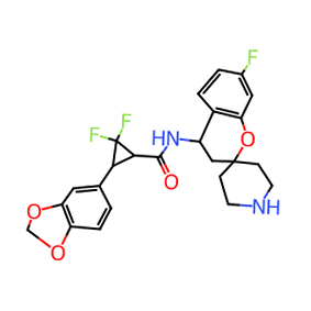 O=C(NC1CC2(CCNCC2)Oc2cc(F)ccc21)C1C(c2ccc3c(c2)OCO3)C1(F)F